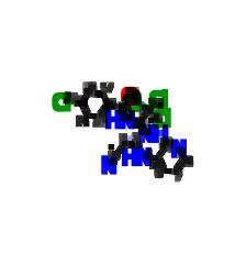 N#C/C=C(\Nc1cccnc1)NC(NC(=O)c1ccc(Cl)cc1)C(Cl)(Cl)Cl